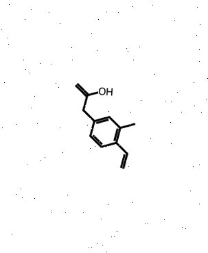 C=Cc1ccc(CC(=C)O)cc1C